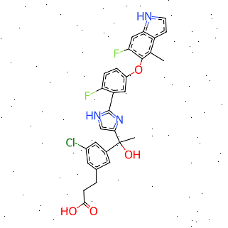 Cc1c(Oc2ccc(F)c(-c3nc(C(C)(O)c4cc(Cl)cc(CCC(=O)O)c4)c[nH]3)c2)c(F)cc2[nH]ccc12